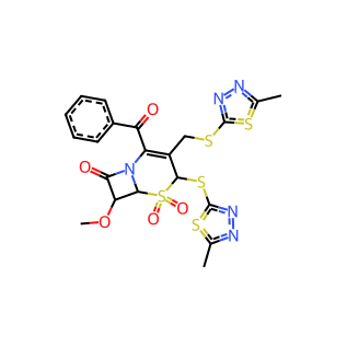 COC1C(=O)N2C(C(=O)c3ccccc3)=C(CSc3nnc(C)s3)C(Sc3nnc(C)s3)S(=O)(=O)C12